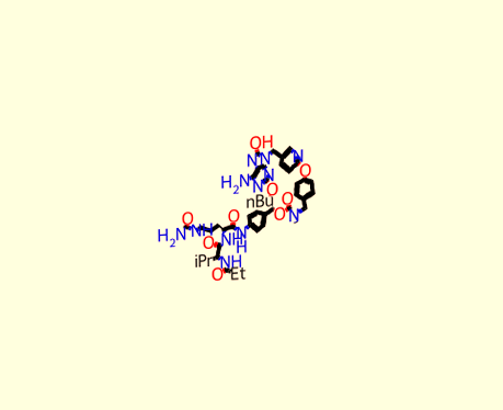 CCCCOc1nc(N)c2nc(O)n(Cc3ccc(Oc4ccc(CN(C)C(=O)OCc5ccc(NC(=O)[C@H](CCCNC(N)=O)NC(=O)C(NC(=O)CC)C(C)C)cc5)cc4)nc3)c2n1